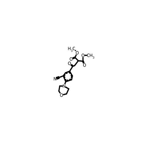 COC(=O)C(CC(=O)c1ccc(N2CCOCC2)c(C#N)c1)C(=O)OC